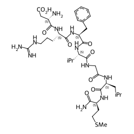 CSCC[C@H](NC(=O)[C@H](CC(C)C)NC(=O)CNC(=O)[C@@H](NC(=O)[C@H](Cc1ccccc1)NC(=O)[C@H](CCCNC(=N)N)NC(=O)[C@@H](N)CC(=O)O)C(C)C)C(N)=O